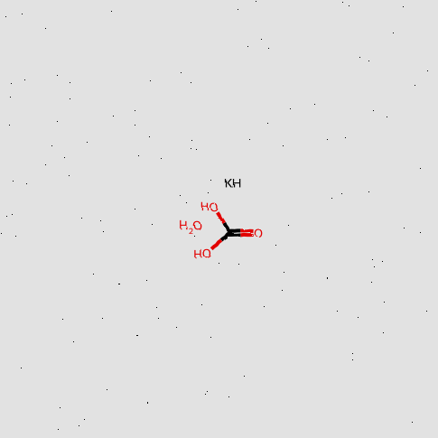 O.O=C(O)O.[KH]